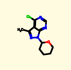 Cc1nn(C2CCCCO2)c2ncnc(Cl)c12